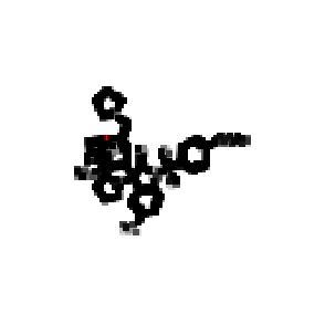 COc1ccc(S(=O)(=O)N2C(=O)C(c3cc(CN4CCCC4)ccc3OC)(N3CCCC3c3ncco3)c3cc(C#N)ccc32)cc1